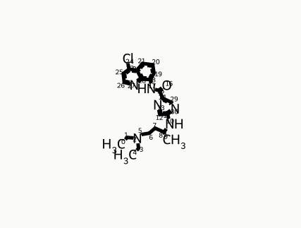 CCN(CC)CCCC(C)Nc1cnc(C(=O)Nc2cccc3c(Cl)ccnc23)cn1